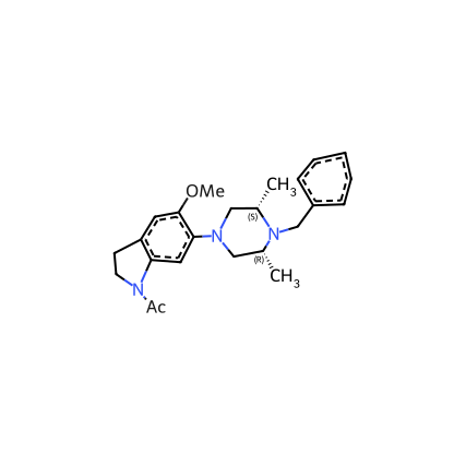 COc1cc2c(cc1N1C[C@@H](C)N(Cc3ccccc3)[C@@H](C)C1)N(C(C)=O)CC2